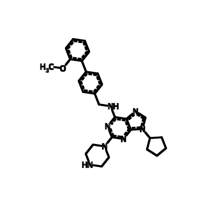 COc1ccccc1-c1ccc(CNc2nc(N3CCNCC3)nc3c2ncn3C2CCCC2)cc1